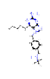 CCCCCc1nc(N)nc2ncn(Cc3ccc(CNC(C)(C)C)cc3)c12